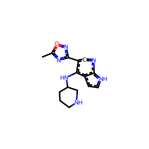 Cc1nc(-c2cnc3[nH]ccc3c2NC2CCCNC2)no1